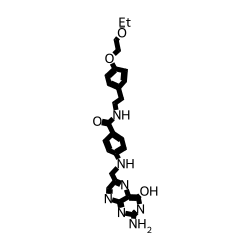 CCOCCOc1ccc(CCNC(=O)c2ccc(NCc3cnc4nc(N)nc(O)c4n3)cc2)cc1